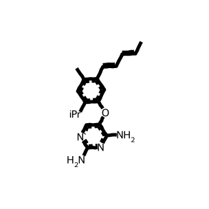 CC=CC=Cc1cc(Oc2cnc(N)nc2N)c(C(C)C)cc1C